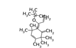 C=C/C(O[Si](C)(C)C)=C1\C(=C)C(C)(C)C(C)=CC1(C)C